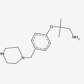 CC(C)(CN)Oc1ccc(CN2CCNCC2)cc1